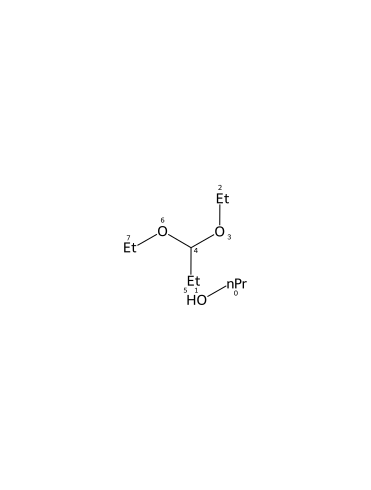 CCCO.CCOC(CC)OCC